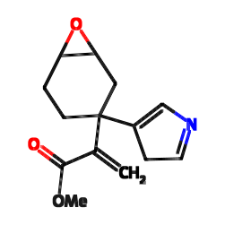 C=C(C(=O)OC)C1(C2=CN=CC2)CCC2OC2C1